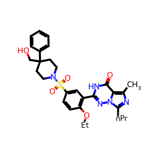 CCCc1nc(C)c2c(=O)[nH]c(-c3cc(S(=O)(=O)N4CCC(CO)(c5ccccc5)CC4)ccc3OCC)nn12